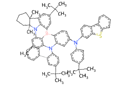 Cc1cc2c3c(c1)N1c4c(cc(C(C)(C)C)cc4C4(C)CCCCC14C)B3c1ccc(N(c3ccc(C(C)(C)C)cc3)c3ccc4c(c3)sc3ccccc34)cc1N2c1ccc(C(C)(C)C)cc1-c1ccccc1